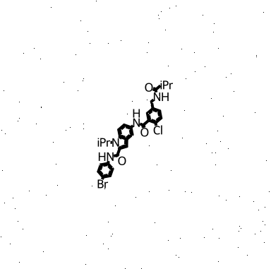 CC(C)C(=O)NCc1ccc(Cl)c(C(=O)Nc2ccc3c(c2)cc(C(=O)Nc2ccc(Br)cc2)n3C(C)C)c1